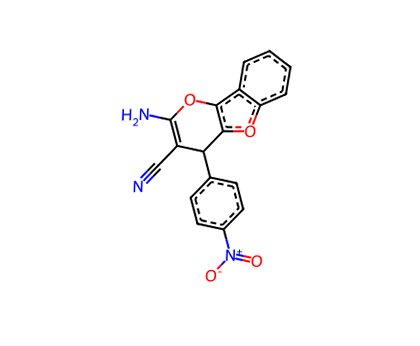 N#CC1=C(N)Oc2c(oc3ccccc23)C1c1ccc([N+](=O)[O-])cc1